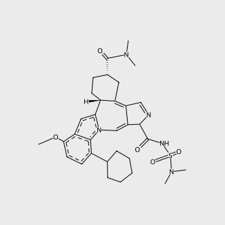 COc1ccc(C2CCCCC2)c2c1cc1n2C=C2C(=C3C[C@@H](C(=O)N(C)C)CC[C@H]31)C=NC2C(=O)NS(=O)(=O)N(C)C